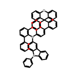 c1ccc(-c2cccc(-c3ccccc3)c2N(c2ccc3c(c2)c2ccccc2n3-c2ccccc2)c2ccc3c4c(cccc24)C2(c4ccccc4Oc4ccccc42)c2ccccc2-3)cc1